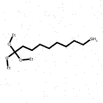 CCOC(CCCCCCCC[SiH3])(OCC)OCC